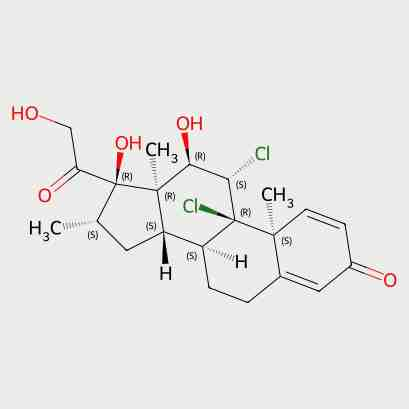 C[C@H]1C[C@H]2[C@@H]3CCC4=CC(=O)C=C[C@]4(C)[C@@]3(Cl)[C@@H](Cl)[C@H](O)[C@]2(C)[C@@]1(O)C(=O)CO